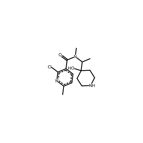 Cc1ccc(C(=O)N(C)C(C)C2(O)CCNCC2)c(Cl)n1